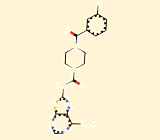 COc1ncnc2sc(NC(=O)N3CCN(C(=O)c4cccc(Cl)c4)CC3)nc12